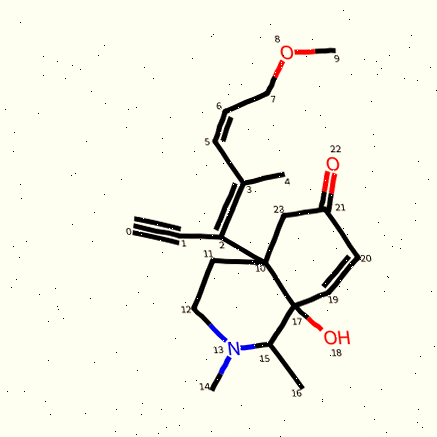 C#C/C(=C(C)\C=C/COC)C12CCN(C)C(C)C1(O)C=CC(=O)C2